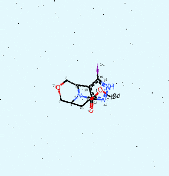 CC(C)(C)OC(=O)N1C2COCC1c1c(n[nH]c1I)C2